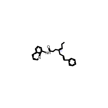 CC/C=C(/CC=Cc1ccccc1)CCC(=O)Nc1cccc2cccnc12